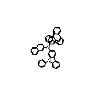 c1ccc(-n2c3ccccc3c3ccc(N(c4ccc5c(c4)-c4c6cccc4-c4cccc-5c4-c4ccccc4-6)c4ccc5ccccc5c4)cc32)cc1